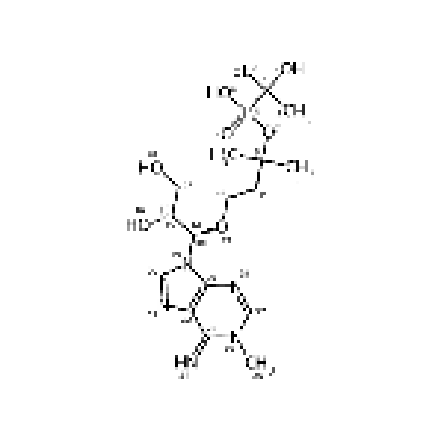 CCC(C)(O)P(=O)(O)OC(C)(C)CCO[C@H]([C@H](O)CO)n1cnc2c(=N)n(C)cnc21